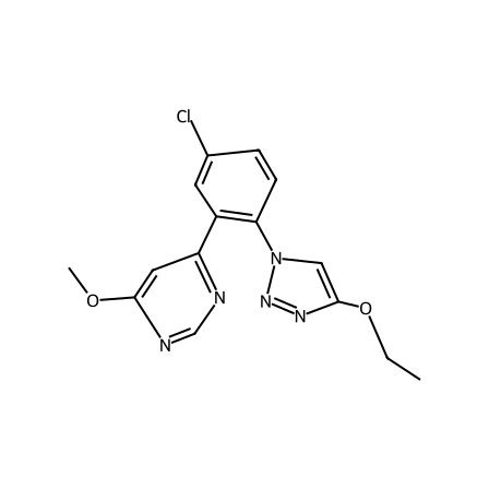 CCOc1cn(-c2ccc(Cl)cc2-c2cc(OC)ncn2)nn1